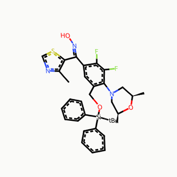 Cc1ncsc1C(=NO)c1cc(CO[Si](c2ccccc2)(c2ccccc2)C(C)(C)C)c(N2C[C@@H](C)O[C@@H](C)C2)c(F)c1F